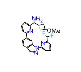 CO[C@H]1C[C@H]([C@H](N)c2cccc(-c3ccc4cnn(-c5cccc(C(F)F)n5)c4c3)n2)C1